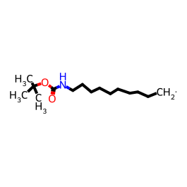 [CH2]CCCCCCCCCNC(=O)OC(C)(C)C